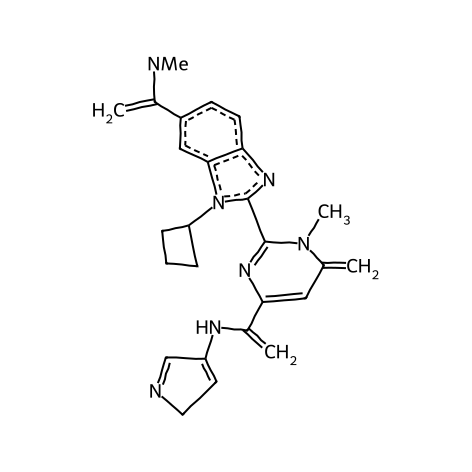 C=C(NC1=CCN=C1)C1=CC(=C)N(C)C(c2nc3ccc(C(=C)NC)cc3n2C2CCC2)=N1